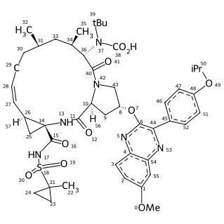 COc1ccc2nc(O[C@@H]3C[C@H]4C(=O)N[C@]5(C(=O)NS(=O)(=O)C6(C)CC6)C[C@H]5/C=C\CC[C@@H](C)C[C@@H](C)[C@H](N(C(=O)O)C(C)(C)C)C(=O)N4C3)c(-c3ccc(OC(C)C)cc3)nc2c1